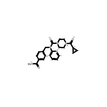 COC(=O)c1ccc(CN(C(=O)N2CCN(C(=O)C3CC3)CC2)c2ccccn2)cc1